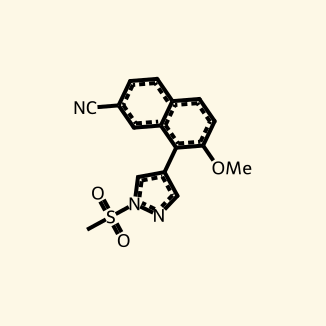 COc1ccc2ccc(C#N)cc2c1-c1cnn(S(C)(=O)=O)c1